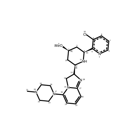 CO[C@H]1C[C@@H](c2ncccc2Cl)N[C@@H](C2CN3C(N4CCN(C)CC4)=CC=CC3=N2)C1